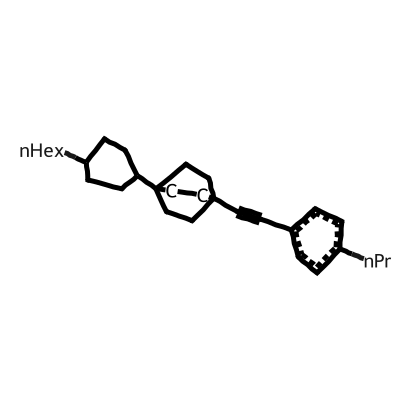 CCCCCCC1CCC(C23CCC(C#Cc4ccc(CCC)cc4)(CC2)CC3)CC1